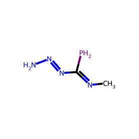 CN=C(P)N=NN